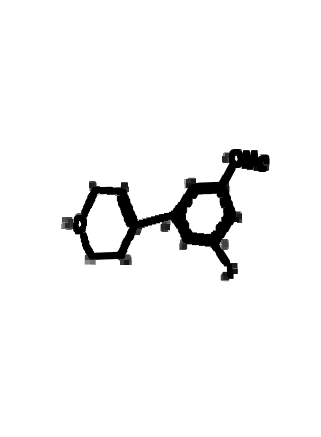 COc1cc(F)cc(C2=CCOCC2)c1